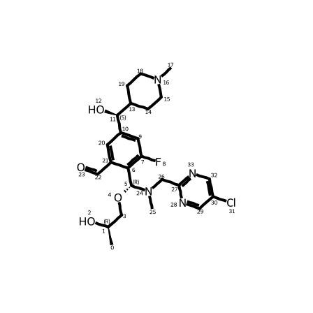 C[C@@H](O)CO[C@H](c1c(F)cc([C@@H](O)C2CCN(C)CC2)cc1C=O)N(C)Cc1ncc(Cl)cn1